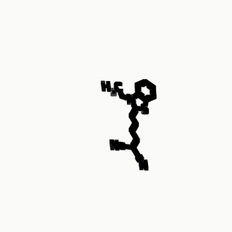 CCN1/C(=C/C=C/C=C(C#N)C#N)Sc2ccccc21